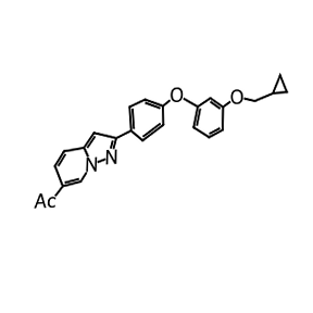 CC(=O)c1ccc2cc(-c3ccc(Oc4cccc(OCC5CC5)c4)cc3)nn2c1